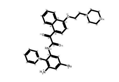 CC(C)(C)c1cc(N)c(-[n+]2ccccc2)c(NC(=O)C(=O)c2ccc(OCCN3CCOCC3)c3ccccc23)c1